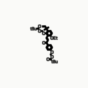 C=CC(C)(C)c1ccc(OCC)c(/C=C/C(=O)c2ccc(OCOC(=O)C(C)(C)C)cc2)c1OCOC(=O)C(C)(C)C